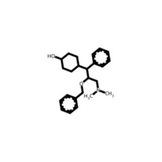 CN(C)CC(OCc1ccccc1)C(c1ccccc1)C1CCC(O)CC1